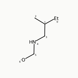 CCC(C)CNC[O]